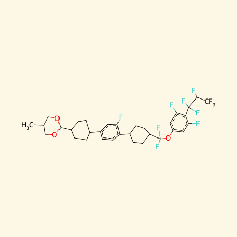 CC1COC(C2CCC(c3ccc(C4CCC(C(F)(F)Oc5cc(F)c(C(F)(F)C(F)C(F)(F)F)c(F)c5)CC4)c(F)c3)CC2)OC1